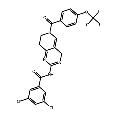 O=C(NC1=NCC2=CN(C(=O)c3ccc(OC(F)(F)F)cc3)CCC2=N1)c1cc(Cl)cc(Cl)c1